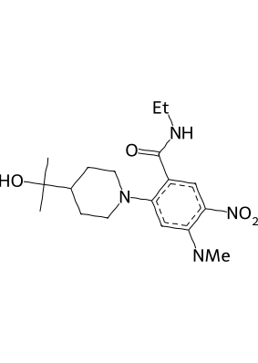 CCNC(=O)c1cc([N+](=O)[O-])c(NC)cc1N1CCC(C(C)(C)O)CC1